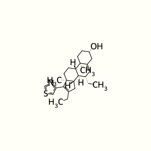 CCC1=C(c2cscn2)[C@@]2(C)CC[C@H]3[C@@H]([C@@H](CC)C=C4C[C@@H](O)CC[C@@]43C)[C@@H]2C1